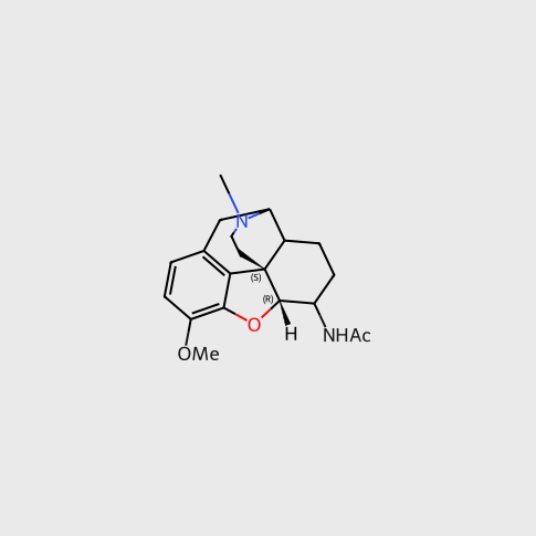 COc1ccc2c3c1O[C@H]1C(NC(C)=O)CCC4C(C2)N(C)CC[C@@]341